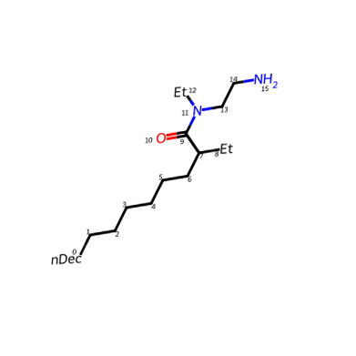 CCCCCCCCCCCCCCCCC(CC)C(=O)N(CC)CCN